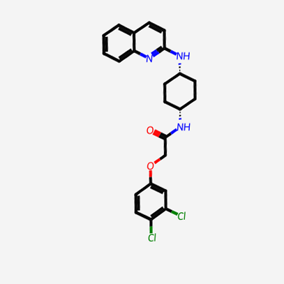 O=C(COc1ccc(Cl)c(Cl)c1)N[C@H]1CC[C@@H](Nc2ccc3ccccc3n2)CC1